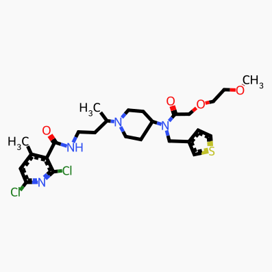 COCCOCC(=O)N(Cc1ccsc1)C1CCN(C(C)CCNC(=O)c2c(C)cc(Cl)nc2Cl)CC1